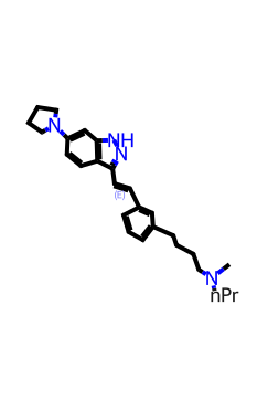 CCCN(C)CCCCc1cccc(/C=C/c2n[nH]c3cc(N4CCCC4)ccc23)c1